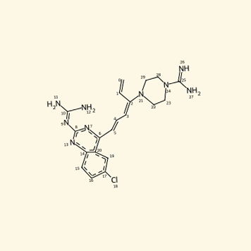 C=C/C(=C\C=C\c1nc(N=C(N)N)nc2ccc(Cl)cc12)N1CCN(C(=N)N)CC1